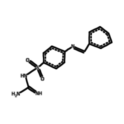 N=C(N)NS(=O)(=O)c1ccc(N=Cc2ccccc2)cc1